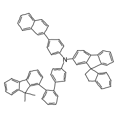 CC1(C)c2ccccc2-c2cccc(-c3ccccc3-c3ccc(N(c4ccc(-c5ccc6ccccc6c5)cc4)c4ccc5c(c4)C4(CCc6ccccc64)c4ccccc4-5)cc3)c21